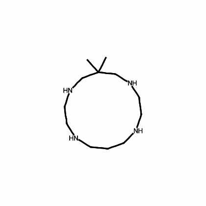 CC1(C)CNCCNCCCNCCNC1